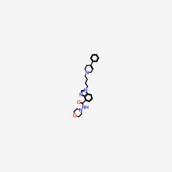 O=C(NN1CCOCC1)c1cccc2c1ncn2CCCCN1CC=C(c2ccccc2)CC1